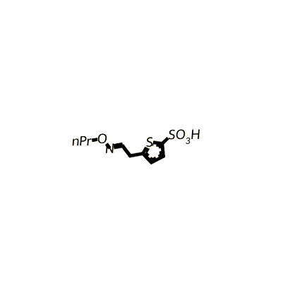 CCCON=CCc1ccc(S(=O)(=O)O)s1